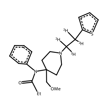 [2H]C([2H])(c1cccs1)C([2H])([2H])N1CCC(COC)(N(C(=O)CC)c2ccccc2)CC1